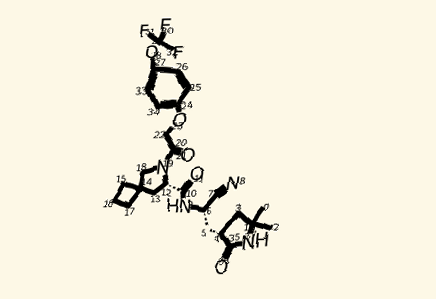 CC1(C)C[C@@H](C[C@@H](C#N)NC(=O)[C@@H]2CC3(CCC3)CN2C(=O)COc2ccc(OC(F)(F)F)cc2)C(=O)N1